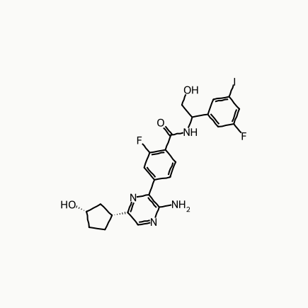 Nc1ncc([C@@H]2CC[C@H](O)C2)nc1-c1ccc(C(=O)NC(CO)c2cc(F)cc(I)c2)c(F)c1